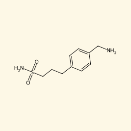 NCc1ccc(CCCS(N)(=O)=O)cc1